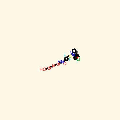 Cc1cc(C2(C)CCCc3nc(SCc4c(F)cc(C(=O)NCCOCCOCCOCCO)cc4F)n(-c4ccc(F)cc4)c32)ccc1Cl